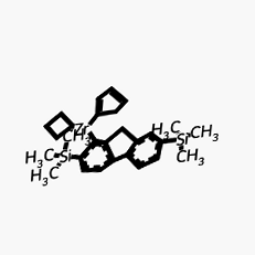 C[Si](C)(C)c1ccc2c(c1)Cc1c-2ccc([Si](C)(C)C)[c]1[Zr]([C]1=CC=CC1)=[C]1CCC1